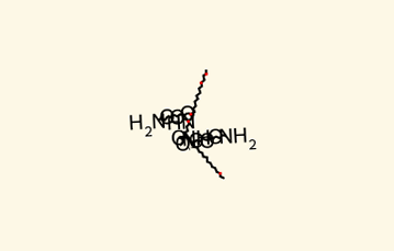 CCCCCCCCCCCCCCC(CNCCCCC(NC[C@H](CCCCCCCCCCCCCC)OCCOCCOCCN)C(=O)OC)OCCOCCOCCN